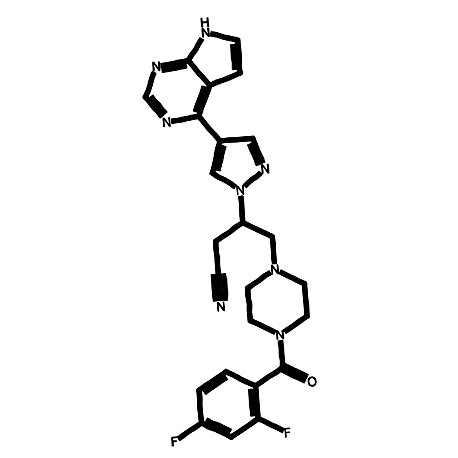 N#CCC(CN1CCN(C(=O)c2ccc(F)cc2F)CC1)n1cc(-c2ncnc3[nH]ccc23)cn1